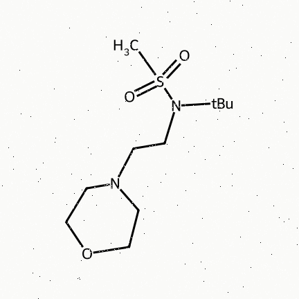 CC(C)(C)N(CCN1CCOCC1)S(C)(=O)=O